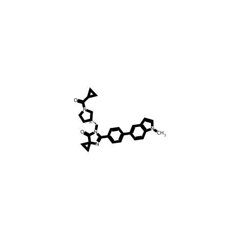 Cn1ccc2cc(-c3ccc(C4=NC5(CC5)C(=O)N4C[C@@H]4CCN(C(=O)C5CC5)C4)cc3)ccc21